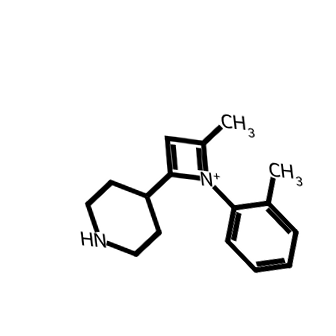 CC1=[N+](c2ccccc2C)C(C2CCNCC2)=C1